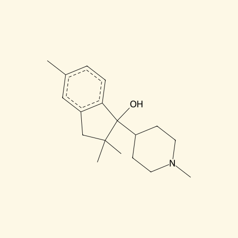 Cc1ccc2c(c1)CC(C)(C)C2(O)C1CCN(C)CC1